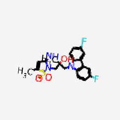 CC1=CC(=N)N(CC(C)(O)Cn2c3ccc(F)cc3c3cc(F)ccc32)S1(=O)=O